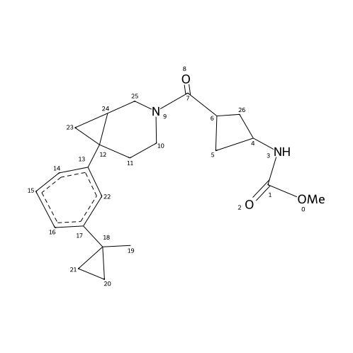 COC(=O)NC1CC(C(=O)N2CCC3(c4cccc(C5(C)CC5)c4)CC3C2)C1